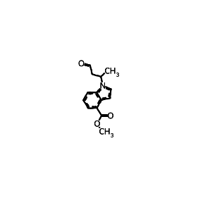 COC(=O)c1cccc2c1ccn2C(C)CC=O